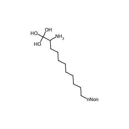 CCCCCCCCCCCCCCCCCCC(N)C(O)(O)O